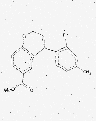 COC(=O)c1ccc2c(c1)C(c1ccc(C)cc1F)=CCO2